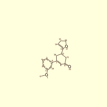 COc1cccc(C2=CC(=O)CC(C3=CCCO3)C2)c1